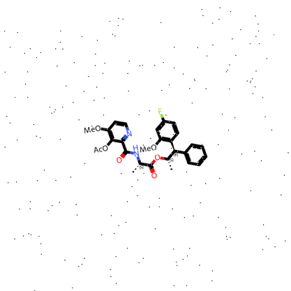 COc1cc(F)ccc1[C@@H](c1ccccc1)[C@H](C)OC(=O)[C@H](C)NC(=O)c1nccc(OC)c1OC(C)=O